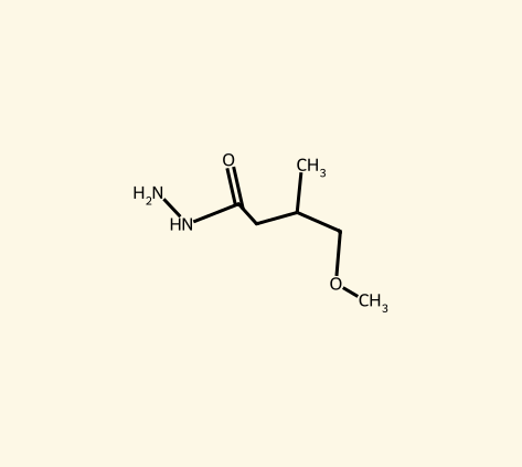 COCC(C)CC(=O)NN